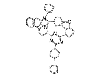 c1ccc(-c2ccc(-c3nc(-c4ccc(-c5ccccc5)cc4)nc(-c4cccc5oc6ccc(-c7nc8ccccc8n7-c7ccccc7)cc6c45)n3)cc2)cc1